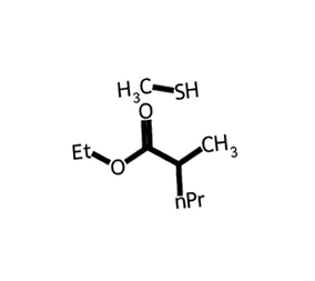 CCCC(C)C(=O)OCC.CS